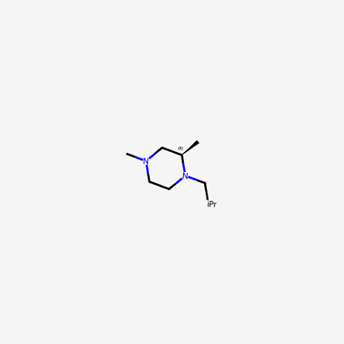 CC(C)CN1CCN(C)C[C@H]1C